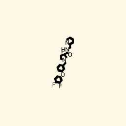 O=C(NCc1ccccn1)C1(F)CCN(Cc2cccc(Oc3ccc(F)c(F)c3)c2)C1